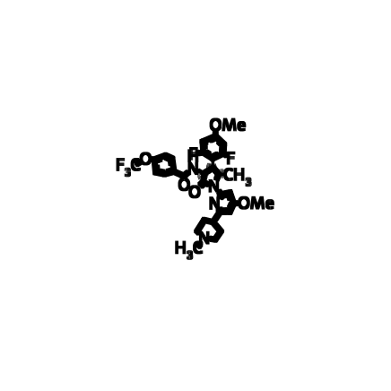 COc1cc(C2CCN(C)CC2)nc(N2C(=O)[C@@H](NC(=O)c3ccc(OC(F)(F)F)cc3)[C@H](c3c(F)cc(OC)cc3F)[C@@H]2C)c1